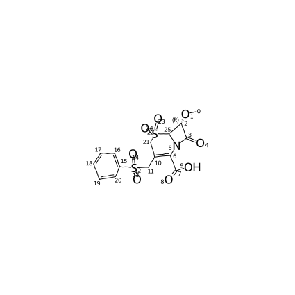 CO[C@@H]1C(=O)N2C(C(=O)O)=C(CS(=O)(=O)c3ccccc3)CS(=O)(=O)C12